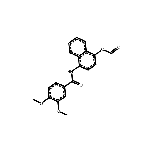 COc1ccc(C(=O)Nc2ccc(OC=O)c3ccccc23)cc1OC